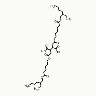 CCCCC(CC)COC(=O)CCCCCOC(=O)CC(C(=O)O)C(CC(=O)OCCCCCC(=O)OCC(CC)CCCC)C(=O)O